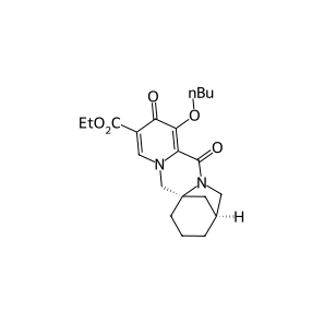 CCCCOc1c2n(cc(C(=O)OCC)c1=O)C[C@]13CCC[C@H](CN1C2=O)C3